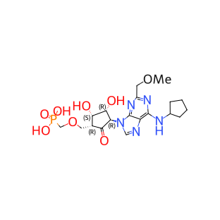 COCc1nc(NC2CCCC2)c2ncn([C@H]3C(=O)[C@H](COCP(=O)(O)O)[C@H](O)[C@@H]3O)c2n1